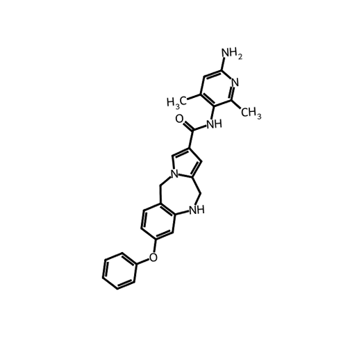 Cc1cc(N)nc(C)c1NC(=O)c1cc2n(c1)Cc1ccc(Oc3ccccc3)cc1NC2